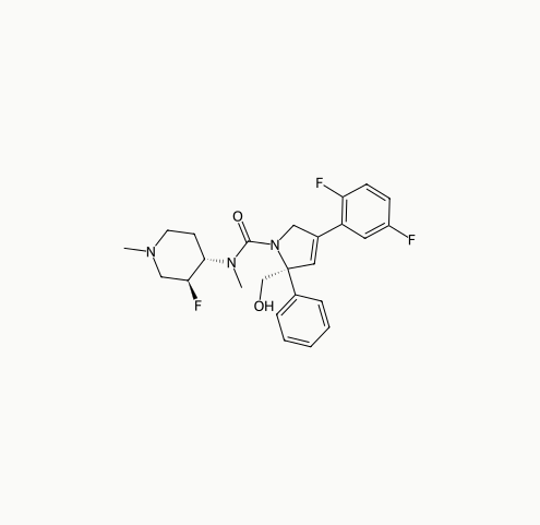 CN1CC[C@H](N(C)C(=O)N2CC(c3cc(F)ccc3F)=C[C@@]2(CO)c2ccccc2)[C@@H](F)C1